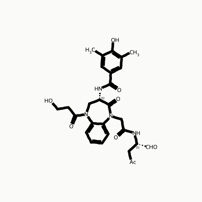 CC(=O)C[C@@H](C=O)NC(=O)CN1C(=O)[C@@H](NC(=O)c2cc(C)c(O)c(C)c2)CN(C(=O)CCO)c2ccccc21